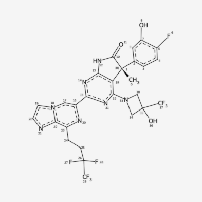 C[C@]1(c2ccc(F)c(O)c2)C(=O)Nc2nc(-c3cn4ccnc4c(CCC(F)(F)C(F)(F)F)n3)nc(N3CC(O)(C(F)(F)F)C3)c21